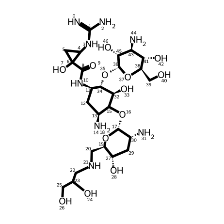 N=C(N)NC1CC1(O)C(=O)N[C@@H]1C[C@H](N)C(O[C@H]2O[C@H](CNCC(O)CO)[C@@H](O)C[C@H]2N)[C@H](O)[C@H]1O[C@H]1O[C@H](CO)[C@@H](O)[C@H](N)[C@H]1O